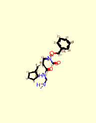 NCNC(=O)[C@H](CC1CCCC1)CN(C=O)OCc1ccccc1